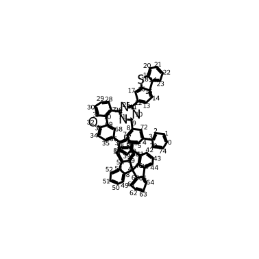 c1ccc(-c2cccc(-c3nc(-c4ccc5c(c4)sc4ccccc45)nc(-c4cccc5oc6ccc(-c7ccc(-c8cccc9c8C8(c%10ccccc%10-c%10ccccc%108)c8ccccc8-9)cc7)cc6c45)n3)c2)cc1